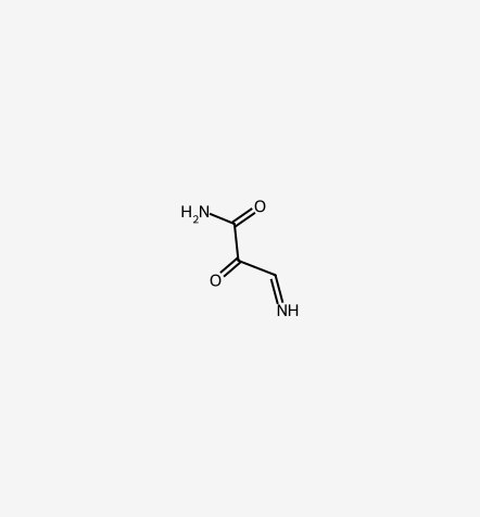 N=CC(=O)C(N)=O